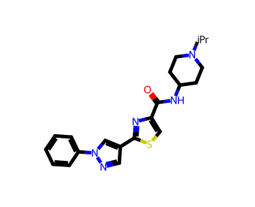 CC(C)N1CCC(NC(=O)c2csc(-c3cnn(-c4ccccc4)c3)n2)CC1